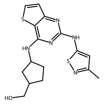 Cc1cc(Nc2nc(NC3CCC(CO)C3)c3sccc3n2)sn1